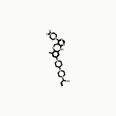 C=CC(O)N1CCN(C2CCN(c3cc(C)c4c(c3)Nc3ncnc(N5CCS(=O)(=O)CC5)c3CO4)CC2)CC1